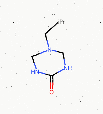 CC(C)CN1CNC(=O)NC1